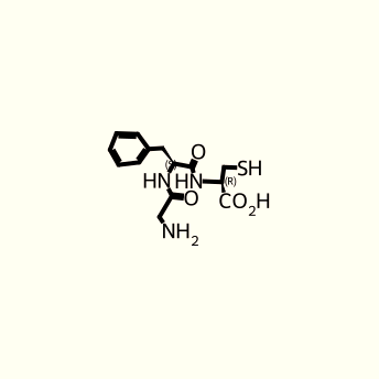 NCC(=O)N[C@@H](Cc1ccccc1)C(=O)N[C@@H](CS)C(=O)O